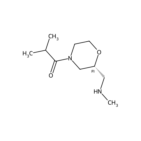 CNC[C@@H]1CN(C(=O)C(C)C)CCO1